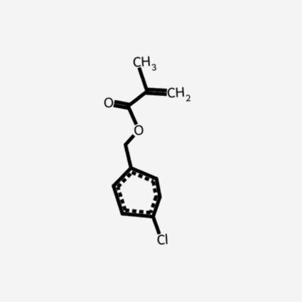 C=C(C)C(=O)OCc1ccc(Cl)cc1